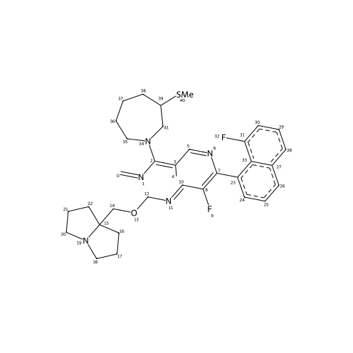 C=N/C(=C(C)/C=N\C(=C(F)/C=N/COCC12CCCN1CCC2)c1cccc2cccc(F)c12)N1CCCCC(SC)C1